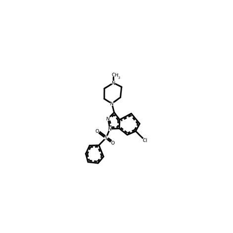 CN1CCN(c2nn(S(=O)(=O)c3ccccc3)c3cc(Cl)ccc23)CC1